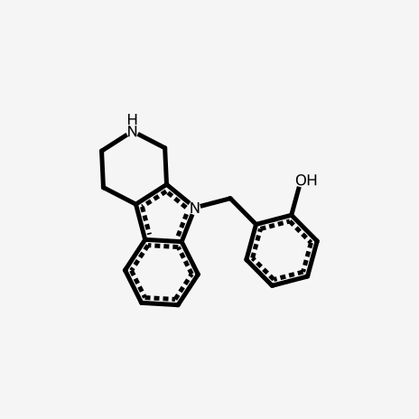 Oc1ccccc1Cn1c2c(c3ccccc31)CCNC2